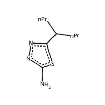 CCCC(CCC)c1nnc(N)s1